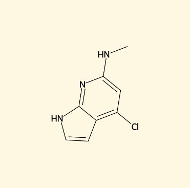 CNc1cc(Cl)c2cc[nH]c2n1